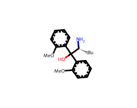 COc1ccccc1C(O)(c1ccccc1OC)[C@H](N)C(C)(C)C